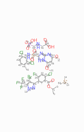 CC(C)OC(=O)c1cc(-c2nn(C)c(C(F)(F)F)c2Br)c(F)cc1Cl.COc1cc(OC)n2nc(S(=O)(=O)Nc3c(Cl)ccc(C)c3Cl)nc2n1.C[S+](C)C.O=C(O)CNCP(=O)([O-])O